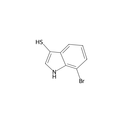 Sc1c[nH]c2c(Br)cccc12